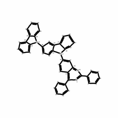 c1ccc(-c2nc(-c3ccccc3)c3ccc(-n4c5ccccc5c5cc(-n6c7ccccc7c7ccccc76)ccc54)cc3n2)cc1